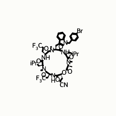 CC(C)C[C@@H]1NC(=O)[C@H](Cc2cn(Cc3ccc(Br)cc3)c3ccccc23)N(C)C(=O)[C@H](CCC(F)(F)F)NC(=O)[C@H](CC(C)C)N(C)C(=O)[C@H](CC(F)(F)F)NC(=O)[C@@H](CCC#N)OC(=O)[C@H](C)N(C)C1=O